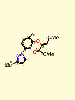 CO/C=C(\Oc1cc(-n2ccc(C(C)(C)C)n2)ccc1C)C(=O)OC